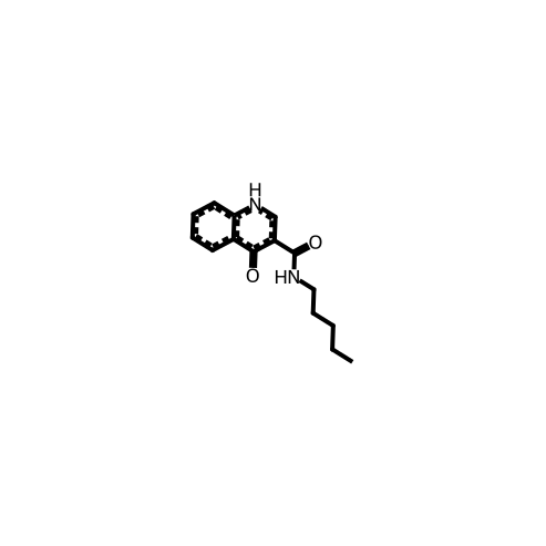 CCCCCNC(=O)c1c[nH]c2ccccc2c1=O